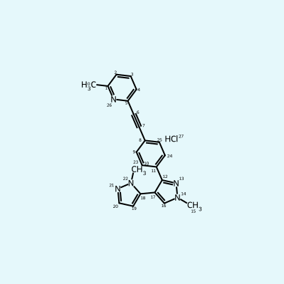 Cc1cccc(C#Cc2ccc(-c3nn(C)cc3-c3ccnn3C)cc2)n1.Cl